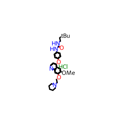 COc1cc2c(Oc3ccc(NC(=O)NCCC(C)(C)C)cc3)ccnc2cc1OCCN1CCCCC1.Cl